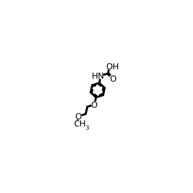 COCCOc1ccc(NC(=O)O)cc1